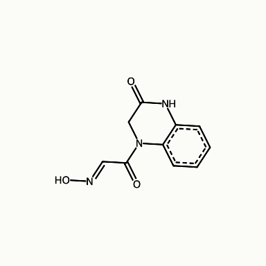 O=C1CN(C(=O)/C=N/O)c2ccccc2N1